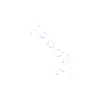 CC(C)(C)OC(=O)N1CC(F)(F)C[C@H]1c1ncc(-c2ccc(-c3ccc4c(ccc5[nH]c([C@@H]6CC(F)(F)CN6C(=O)OC(C)(C)C)nc54)c3)cc2)[nH]1